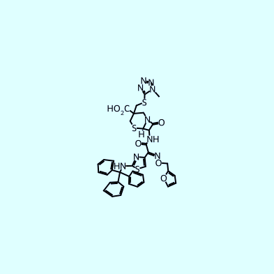 Cn1nnnc1SCC1(C(=O)O)CS[C@@H]2C(NC(=O)C(=NOCc3ccco3)c3csc(NC(c4ccccc4)(c4ccccc4)c4ccccc4)n3)C(=O)N2C1